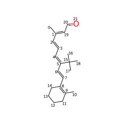 CC(C=CC=C(C=CC1=C(C)CCCC1)C(C)(C)C)=CC=O